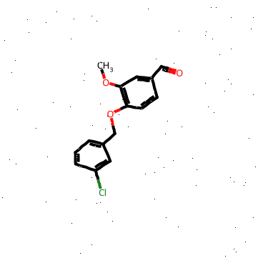 COc1cc(C=O)ccc1OCc1cccc(Cl)c1